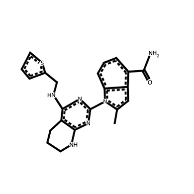 Cc1cc2c(C(N)=O)cccc2n1-c1nc2c(c(NCc3cccs3)n1)CCCN2